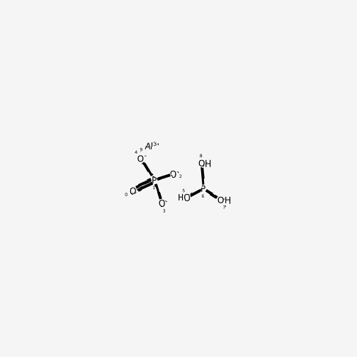 O=P([O-])([O-])[O-].OP(O)O.[Al+3]